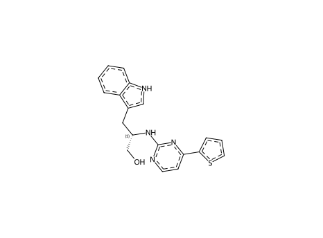 OC[C@H](Cc1c[nH]c2ccccc12)Nc1nccc(-c2cccs2)n1